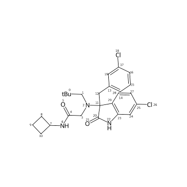 CC(C)(C)CN(CC(=O)NC1CCC1)C1(Cc2cccc(Cl)c2)C(=O)Nc2cc(Cl)ccc21